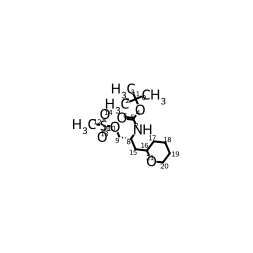 CC(C)(C)OC(=O)N[C@@H](COS(C)(=O)=O)CC1CCCCO1